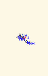 CCCc1nc2sc(C(=O)NCCc3ccc(N4CCNCC4)cc3)c(N)c2c2c1CCC2